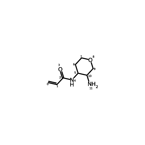 C=CC(=O)NC1CCOCC1N